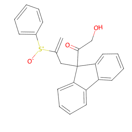 C=C(CC1(C(=O)CO)c2ccccc2-c2ccccc21)[S+]([O-])c1ccccc1